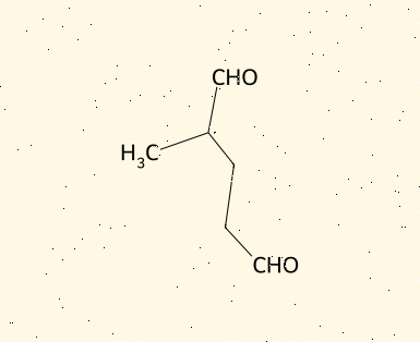 C[C](C=O)CCC=O